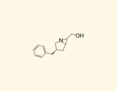 OCC1C2C[C@@H](Cc3ccccc3)CN12